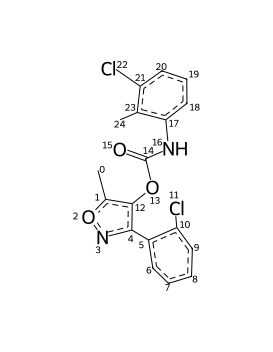 Cc1onc(-c2ccccc2Cl)c1OC(=O)Nc1cccc(Cl)c1C